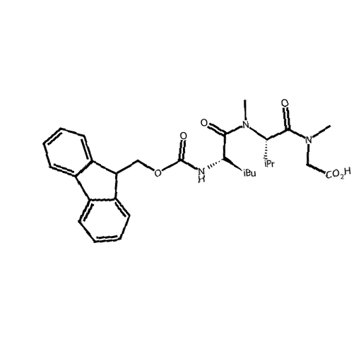 CC[C@H](C)[C@H](NC(=O)OCC1c2ccccc2-c2ccccc21)C(=O)N(C)[C@H](C(=O)N(C)CC(=O)O)C(C)C